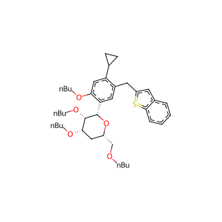 CCCCOC[C@@H]1C[C@H](OCCCC)[C@H](OCCCC)[C@H](c2cc(Cc3cc4ccccc4s3)c(C3CC3)cc2OCCCC)O1